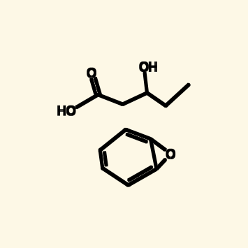 CCC(O)CC(=O)O.c1ccc2c(c1)O2